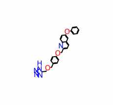 c1ccc(Oc2ccc3nc(COc4ccc(COCc5nnn[nH]5)cc4)ccc3c2)cc1